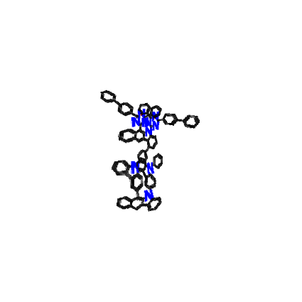 c1ccc(-c2ccc(-c3nc(-c4ccccc4)nc(-c4c5ccccc5cc5c6c(-c7ccc(-n8c9ccccc9c9cc(-c%10c%11ccccc%11cc%11c%12ccccc%12n(-c%12ccc%13c(c%12)c%12ccccc%12n%13-c%12ccccc%12)c%10%11)ccc98)cc7)cccc6n(-c6nc(-c7ccccc7)nc(-c7ccc(-c8ccccc8)cc7)n6)c45)n3)cc2)cc1